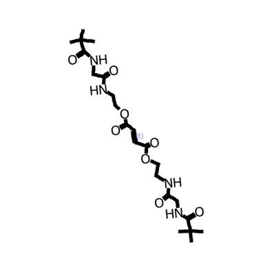 CC(C)(C)C(=O)NCC(=O)NCCOC(=O)/C=C/C(=O)OCCNC(=O)CNC(=O)C(C)(C)C